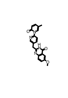 COc1ccc2nc(Cc3ccc(-n4cc(C)ccc4=O)nc3)[nH]c(=O)c2c1